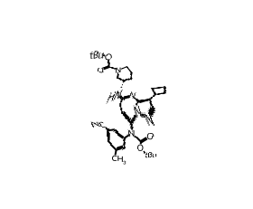 Cc1cc(C#N)cc(N(C(=O)OC(C)(C)C)c2cc(N[C@H]3CCCN(C(=O)OC(C)(C)C)C3)nc3c(C4CCC4)cnn23)c1